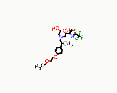 CCOCCOc1ccc(C(C)CN(CCO)CC(O)c2csc(C(F)(F)F)n2)cc1